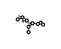 CC1(C)c2cc(-n3c4ccc(-c5ccccc5)cc4c4cc(-c5ccc6c(ccc7ccccc76)c5)ccc43)ccc2-c2ccc3sc4ccccc4c3c21